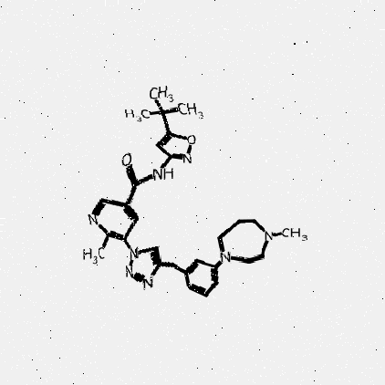 Cc1ncc(C(=O)Nc2cc(C(C)(C)C)on2)cc1-n1cc(-c2cccc(N3CCCN(C)CC3)c2)nn1